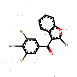 CCc1oc2ccccc2c1C(=O)c1cc(Br)c(OC(C)=O)c(Br)c1